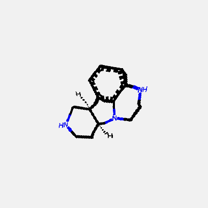 c1cc2c3c(c1)[C@@H]1CNCC[C@@H]1N3CCN2